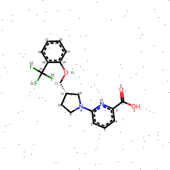 O=C(O)c1cccc(N2CC[C@H](COc3ccccc3C(F)(F)F)C2)n1